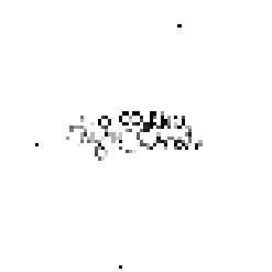 CCOC(=O)C1c2cc([N+](=O)[O-])c(OC)cc2CCN1C(=O)C(=O)N1CCCC1(C)C